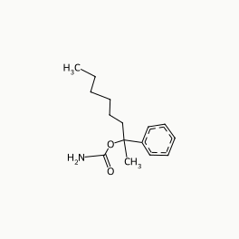 CCCCCCC(C)(OC(N)=O)c1ccccc1